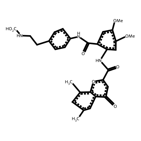 COc1cc(NC(=O)c2cc(=O)c3cc(C)cc(C)c3o2)c(C(=O)Nc2ccc(CCNC(=O)O)cc2)cc1OC